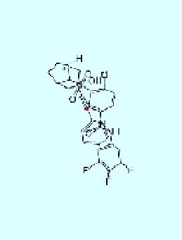 O=C(Nc1cc(F)c(F)c(F)c1)c1ccc(Cl)c(S(=O)(=O)C2C3CC[C@H]2C[C@@](O)(C#Cc2ccccn2)C3)c1